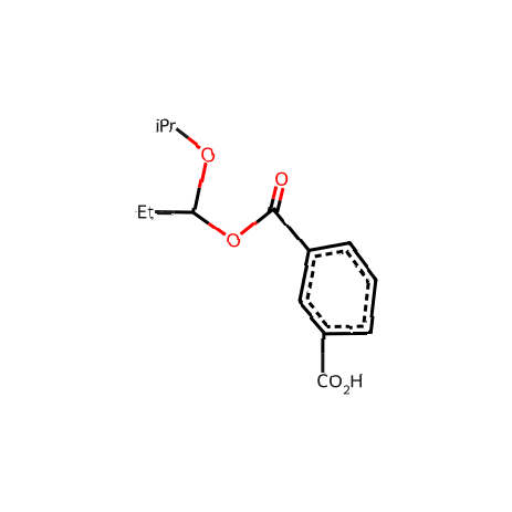 C[CH]C(OC(=O)c1cccc(C(=O)O)c1)OC(C)C